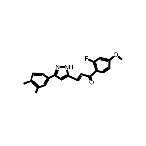 COc1ccc(C(=O)/C=C/c2cc(-c3ccc(C)c(C)c3)n[nH]2)c(F)c1